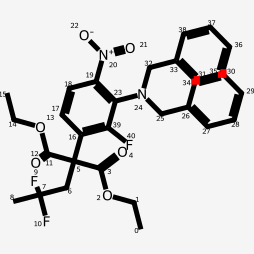 CCOC(=O)C(CC(C)(F)F)(C(=O)OCC)c1ccc([N+](=O)[O-])c(N(Cc2ccccc2)Cc2ccccc2)c1F